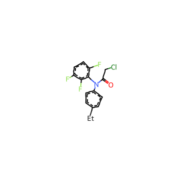 CCc1ccc(N(C(=O)CCl)c2c(F)ccc(F)c2F)cc1